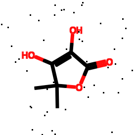 CC1(C)OC(=O)C(O)=C1O